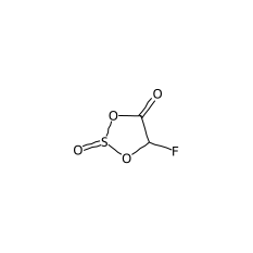 O=C1OS(=O)OC1F